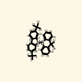 CC(C)(C)c1ccc2c3ccc(C(C)(C)C)cc3n(B3c4ccccc4C(C)(C)c4ccccc43)c2c1